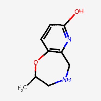 Oc1ccc2c(n1)CNCC(C(F)(F)F)O2